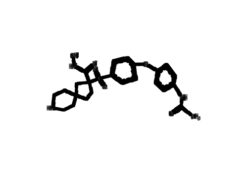 CC(=O)Nc1ccc(Oc2ccc(S(=O)(=O)C3(C(=O)NO)CCC4(CCNCC4)C3)cc2)cc1